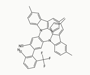 Cc1ccc2c(c1)c1cc(C)ccc1n2-c1cc(C#N)c(-c2c(C#N)cccc2C(F)(F)F)cc1-n1c2ccc(C)cc2c2cc(C)ccc21